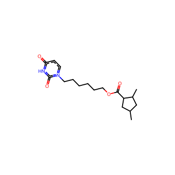 CC1CC(C)C(C(=O)OCCCCCCn2ccc(=O)[nH]c2=O)C1